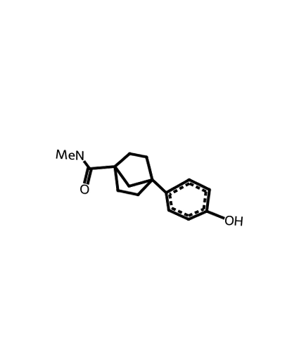 CNC(=O)C12CCC(c3ccc(O)cc3)(CC1)C2